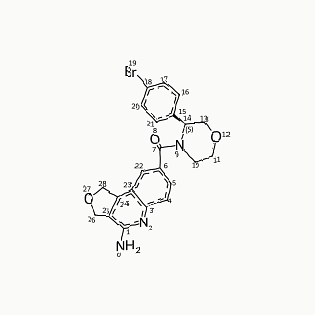 Nc1nc2ccc(C(=O)N3CCOC[C@@H]3c3ccc(Br)cc3)cc2c2c1COC2